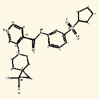 O=C(Nc1cccc(S(=O)(=O)C2CCCC2)c1)c1ccncc1N1CCC2(CC1)CC2(F)F